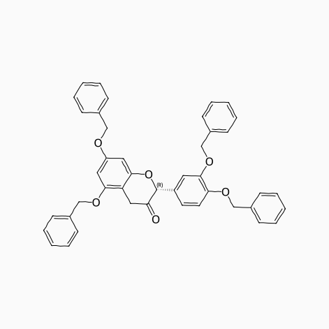 O=C1Cc2c(OCc3ccccc3)cc(OCc3ccccc3)cc2O[C@@H]1c1ccc(OCc2ccccc2)c(OCc2ccccc2)c1